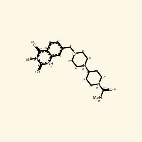 CCn1c(=O)[nH]c2cc(CN3CCN(C4CCN(C(=O)NC)CC4)CC3)ccc2c1=O